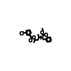 CCOC(=O)N(Cc1ccccc1)C(C)CC(C)OC(=O)c1cccc(Cl)c1